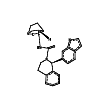 O=C(N[C@@H]1CN2CCC1CC2)N1CCc2ccccc2[C@@H]1c1ccn2ccnc2c1